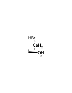 Br.CO.[CaH2]